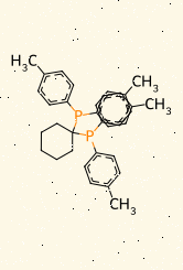 Cc1ccc(P(c2ccc(C)cc2)C2(P(c3ccc(C)cc3)c3ccc(C)cc3)CCCCC2)cc1